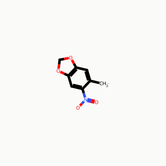 [CH2]c1cc2c(cc1[N+](=O)[O-])OCO2